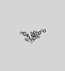 CCN1CCN(C(C)(C)C=C(C#N)C(=O)NC(C)Cn2c(=O)n(-c3ccc(Oc4ccccc4)cc3)c3c(N)ncnc32)CC1